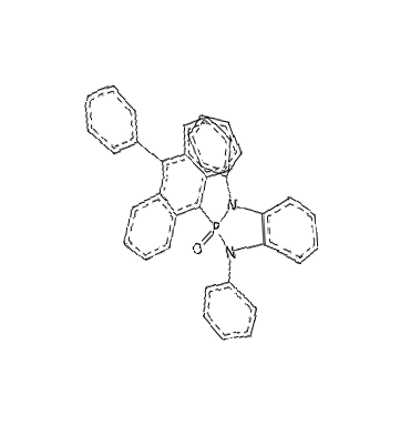 O=P1(c2c3ccccc3c(-c3ccccc3)c3ccccc23)N(c2ccccc2)c2ccccc2N1c1ccccc1